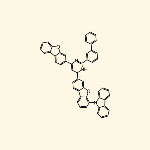 C1=C(c2ccc3c(c2)oc2ccccc23)N=C(c2cccc(-c3ccccc3)c2)NC1c1ccc2c(c1)oc1c(-n3c4ccccc4c4ccccc43)cccc12